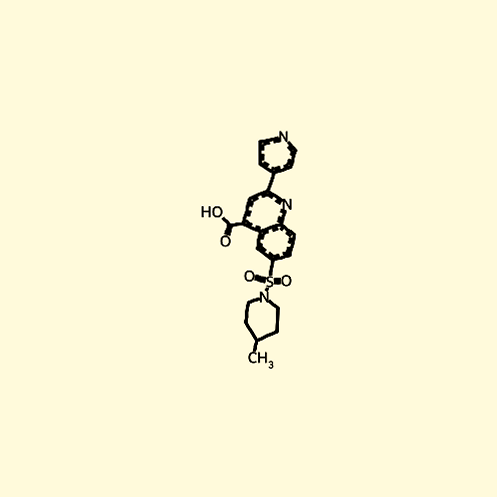 CC1CCN(S(=O)(=O)c2ccc3nc(-c4ccncc4)cc(C(=O)O)c3c2)CC1